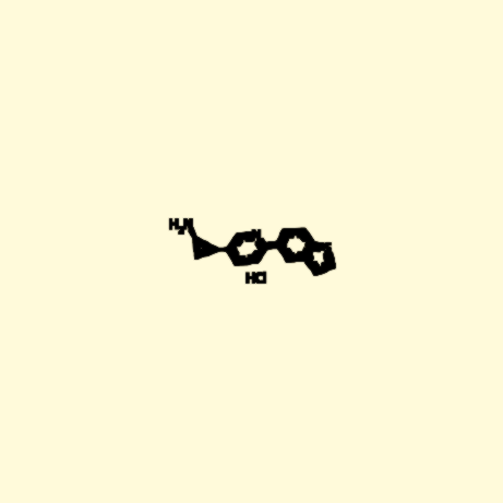 Cl.N[C@@H]1C[C@H]1c1ccc(-c2ccc3sccc3c2)nc1